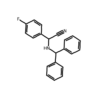 N#CC(NC(c1ccccc1)c1ccccc1)c1ccc(F)cc1